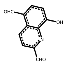 O=Cc1ccc2c(C=O)ccc(O)c2n1